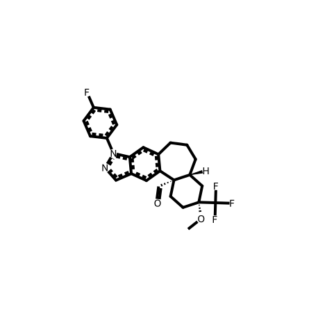 CO[C@]1(C(F)(F)F)CC[C@@]2(C=O)c3cc4cnn(-c5ccc(F)cc5)c4cc3CCC[C@@H]2C1